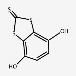 Oc1ccc(O)c2sc(=S)sc12